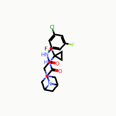 O=C(CN1CC2CC(C1)N2CC(=O)NC1(C(F)(F)F)CC1)Nc1cc(F)cc(Cl)c1